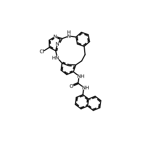 O=C(Nc1ccc2cc1CCc1cccc(c1)Nc1ncc(Cl)c(n1)N2)Nc1cccc2ccccc12